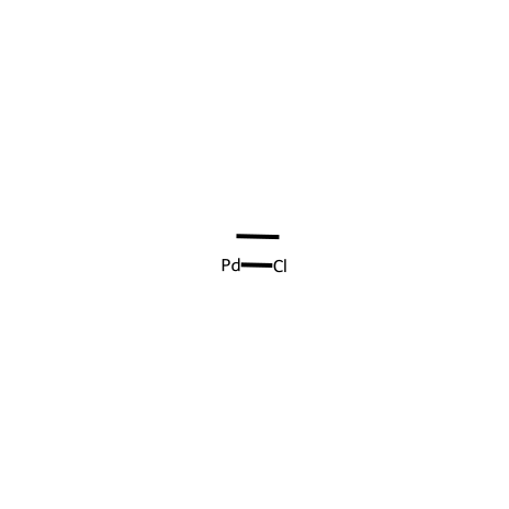 CC.[Cl][Pd]